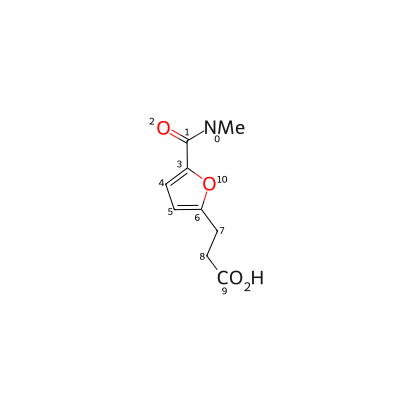 CNC(=O)c1ccc(CCC(=O)O)o1